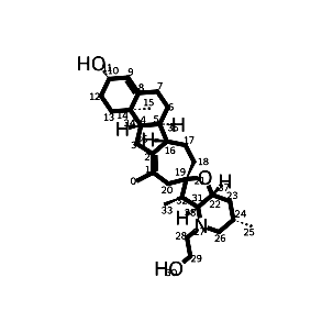 CC1=C2C[C@H]3[C@@H](CCC4=C[C@@H](O)CC[C@@]43C)[C@@H]2CC[C@@]2(C1)O[C@@H]1C[C@H](C)CN(CCO)[C@H]1[C@H]2C